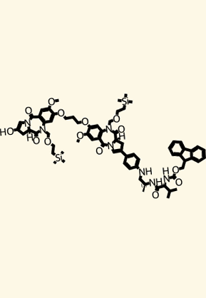 COc1cc2c(cc1OCCCOc1cc3c(cc1OC)C(=O)N1C=C(c4ccc(NC[C@H](C)NC(=O)[C@@H](NC(=O)OCC5c6ccccc6-c6ccccc65)C(C)C)cc4)C[C@H]1C(=O)N3COCC[Si](C)(C)C)N(COCC[Si](C)(C)C)C(=O)[C@@H]1CC(O)=CN1C2=O